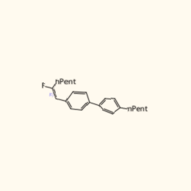 CCCCC/C(F)=C\c1ccc(-c2ccc(CCCCC)cc2)cc1